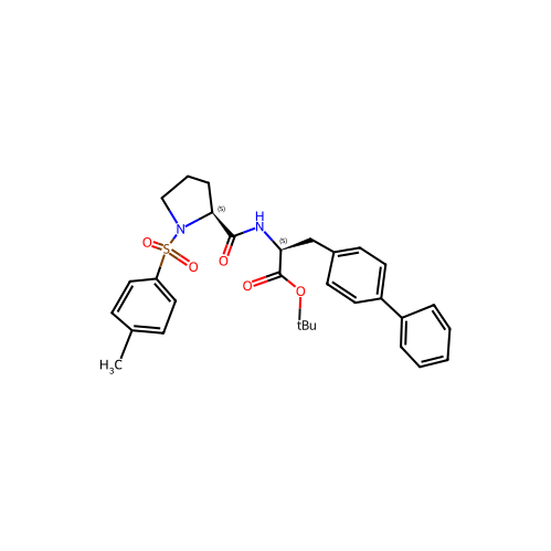 Cc1ccc(S(=O)(=O)N2CCC[C@H]2C(=O)N[C@@H](Cc2ccc(-c3ccccc3)cc2)C(=O)OC(C)(C)C)cc1